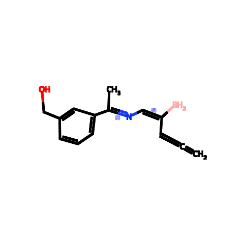 B/C(C=C=C)=C/N=C(\C)c1cccc(CO)c1